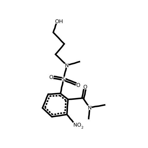 CN(C)C(=O)c1c([N+](=O)[O-])cccc1S(=O)(=O)N(C)CCCO